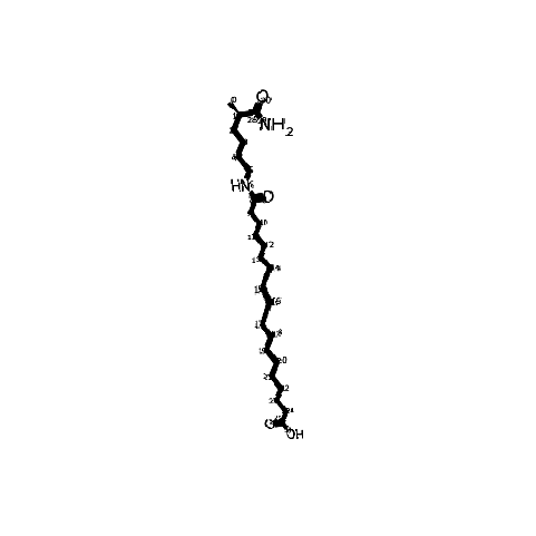 C[C@H](CCCCNC(=O)CCCCCCCCCCCCCCCCC(=O)O)C(N)=O